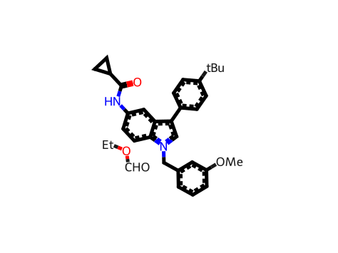 CCOC=O.COc1cccc(Cn2cc(-c3ccc(C(C)(C)C)cc3)c3cc(NC(=O)C4CC4)ccc32)c1